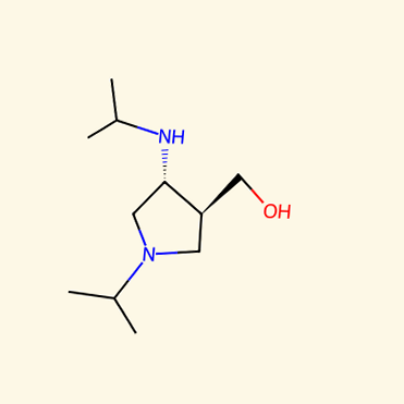 CC(C)N[C@H]1CN(C(C)C)C[C@@H]1CO